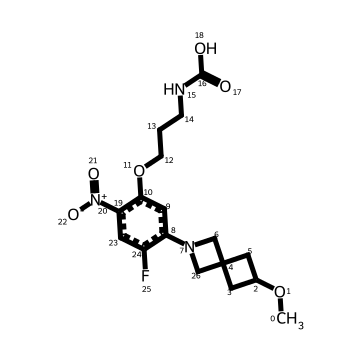 COC1CC2(C1)CN(c1cc(OCCCNC(=O)O)c([N+](=O)[O-])cc1F)C2